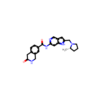 C[C@H]1CCCN1Cc1cc2cnc(NC(=O)c3ccc4c(c3)CNC(=O)C4)cc2[nH]1